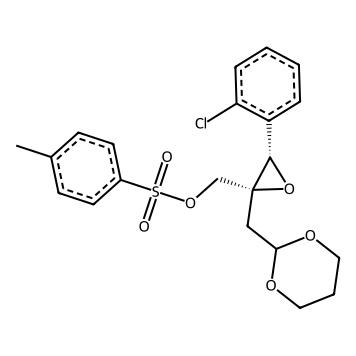 Cc1ccc(S(=O)(=O)OC[C@@]2(CC3OCCCO3)O[C@H]2c2ccccc2Cl)cc1